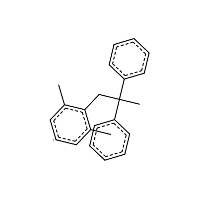 Cc1c[c]cc(C)c1CC(C)(c1ccccc1)c1ccccc1